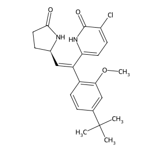 COc1cc(C(C)(C)C)ccc1/C(=C/[C@H]1CCC(=O)N1)c1ccc(Cl)c(=O)[nH]1